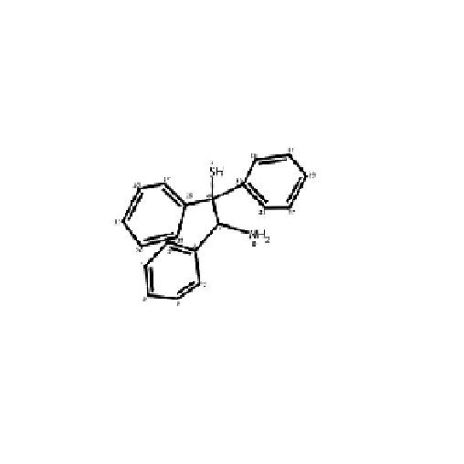 NC(c1ccccc1)C(S)(c1ccccc1)c1ccccc1